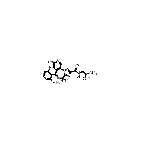 C[C@@H](O)CNC(=O)c1nc2n(n1)-c1cnc(C(F)(F)F)cc1C(c1c(F)cccc1F)=NC2(C)Cl